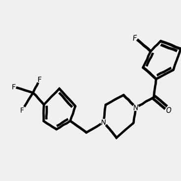 O=C(c1cccc(F)c1)N1CCN(Cc2ccc(C(F)(F)F)cc2)CC1